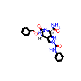 NC(=O)[C@@H]1c2nn(C(=O)Nc3ccccc3)cc2[C@@H]2CN1C(=O)N2OCc1ccccc1